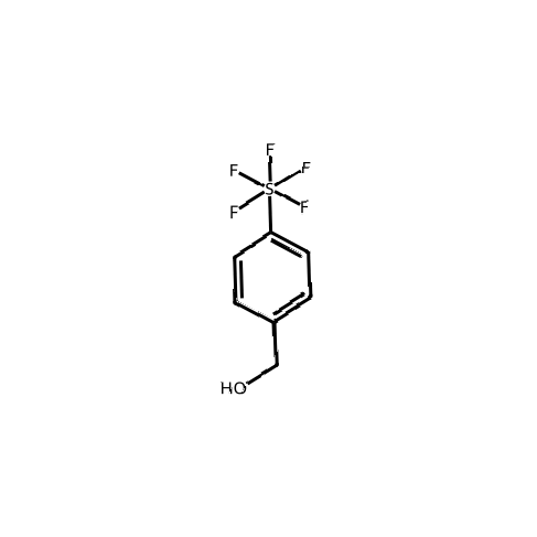 OCc1ccc(S(F)(F)(F)(F)F)cc1